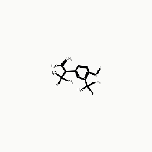 C=C(C)C(c1ccc(SF)c(C(C)(C)F)c1)C(C)(C)Cl